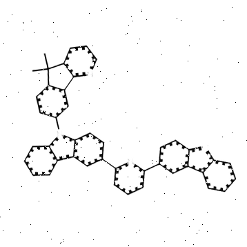 CC1(C)c2ccc(-n3c4ccccc4c4cc(-c5cccc(-c6ccc7oc8ccccc8c7c6)n5)ccc43)cc2-c2ncccc21